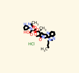 CCCCCN1C=Nc2cccc3nc4c(c1c23)Cn1c-4cc2c(c1=O)COC(=O)[C@@]2(CC)OC(=O)C[C@@H](C(=O)O)N(C(=O)[C@H](C)N)C1CCCCC1.Cl